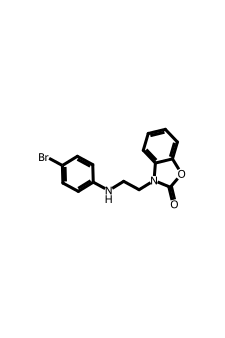 O=c1oc2ccccc2n1CCNc1ccc(Br)cc1